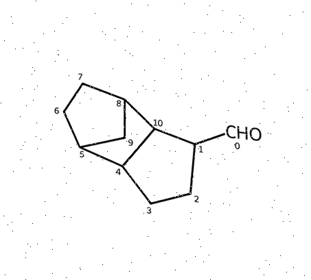 O=CC1CCC2C3CCC(C3)C12